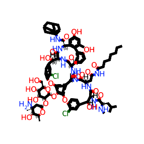 CCCCCCCC(=O)NC(=O)C[C@@H]1NC(=O)[C@H](NC(=O)[C@@H](CC(C)C)NC)[C@H](O)c2ccc(c(Cl)c2)Oc2cc3cc(c2O[C@@H]2O[C@H](CO)[C@@H](O)[C@H](O)[C@H]2O[C@H]2C[C@](C)(N)[C@H](O)[C@H](C)O2)Oc2ccc(cc2Cl)[C@@H](O)[C@@H]2NC(=O)[C@H](NC(=O)[C@@H]3NC1=O)c1ccc(O)c(c1)-c1c(C)cc(O)cc1[C@@H](C(=O)NC1C3CC4CC(C3)CC1C4)NC2=O